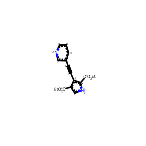 CCOC(=O)c1c[nH]c(C(=O)OCC)c1C#Cc1cccnc1